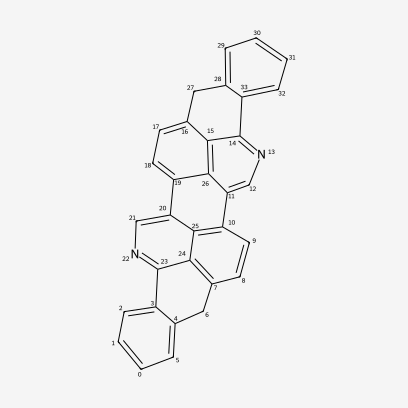 c1ccc2c(c1)Cc1ccc3c4cnc5c6c(ccc(c7cnc-2c1c37)c64)Cc1ccccc1-5